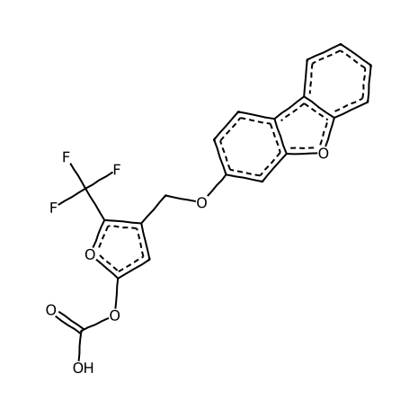 O=C(O)Oc1cc(COc2ccc3c(c2)oc2ccccc23)c(C(F)(F)F)o1